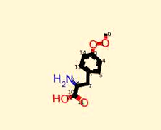 COOc1ccc(CC(N)C(=O)O)cc1